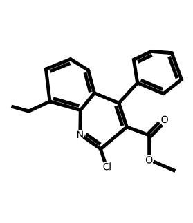 CCc1cccc2c(-c3ccccc3)c(C(=O)OC)c(Cl)nc12